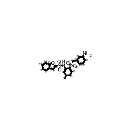 CC1C=C(NS(=O)(=O)c2cc3ccccc3o2)C(S(=O)(=O)Cc2cccc(N)c2)=CC1